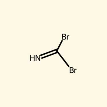 N=C(Br)Br